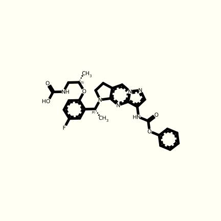 C[C@H](c1cc(F)ccc1O[C@@H](C)CNC(=O)O)N1CCc2cn3ncc(NC(=O)Oc4ccccc4)c3nc21